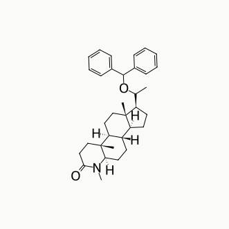 CC(OC(c1ccccc1)c1ccccc1)[C@H]1CC[C@H]2[C@@H]3CC[C@H]4N(C)C(=O)CC[C@]4(C)[C@H]3CC[C@]12C